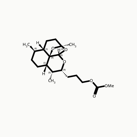 COC(=O)OCCC[C@H]1O[C@@H]2O[C@]3(C)CC[C@H]4[C@H](C)CC[C@@H]([C@H]1C)[C@@]24O3